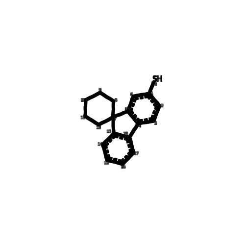 Sc1ccc2c(c1)C1(CCCCC1)c1ccccc1-2